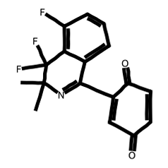 CC1(C)N=C(C2=CC(=O)C=CC2=O)c2cccc(F)c2C1(F)F